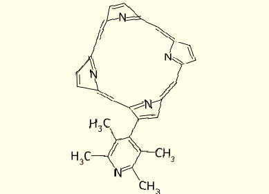 Cc1nc(C)c(C)c(C2=CC3=CC4=NC(=CC5=NC(=CC6=NC(=CC2=N3)C=C6)C=C5)C=C4)c1C